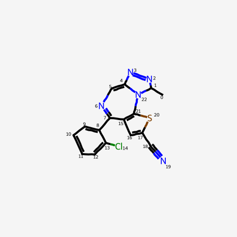 CC1N=NC2=CN=C(c3ccccc3Cl)c3cc(C#N)sc3N21